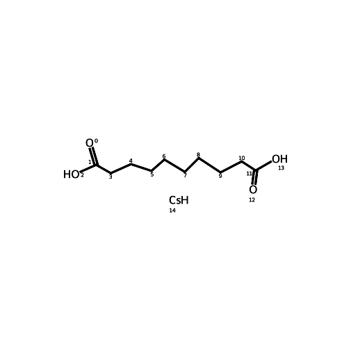 O=C(O)CCCCCCCCC(=O)O.[CsH]